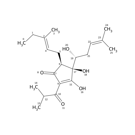 CC/C(C)=C/C[C@@H]1C(=O)C(C(=O)C(C)C)=C(O)[C@@]1(O)[C@H](O)CC=C(C)C